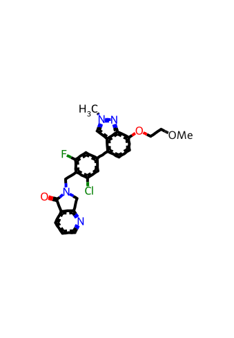 COCCOc1ccc(-c2cc(F)c(CN3Cc4ncccc4C3=O)c(Cl)c2)c2cn(C)nc12